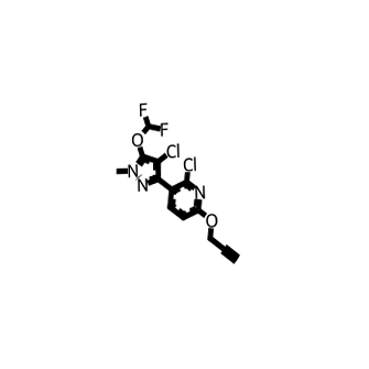 C#CCOc1ccc(-c2nn(C)c(OC(F)F)c2Cl)c(Cl)n1